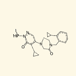 O=C1CN(c2cnn(PI)c(=O)c2C2CC2)CCN1Cc1ccccc1C1CC1